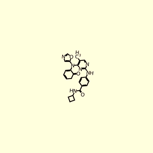 Cc1cnc(Nc2ccc(C(=O)NC3CCC3)cc2)nc1N(C1=CC=CCC1=O)c1cnco1